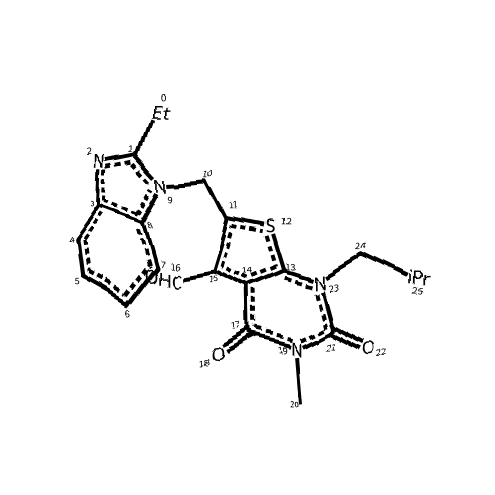 CCc1nc2ccccc2n1Cc1sc2c(c1C=O)c(=O)n(C)c(=O)n2CC(C)C